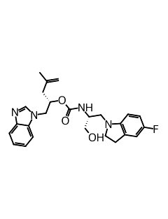 C=C(C)C[C@@H](Cn1cnc2ccccc21)OC(=O)N[C@@H](CO)CN1CCc2cc(F)ccc21